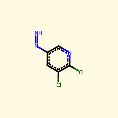 N=Nc1cnc(Cl)c(Cl)c1